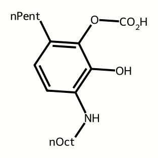 CCCCCCCCNc1ccc(CCCCC)c(OC(=O)O)c1O